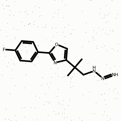 CC(C)(CNN=N)c1coc(-c2ccc(F)cc2)n1